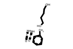 Cc1ccccc1.N=C=O.N=C=O.OCCCCO